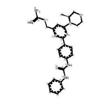 C[C@H]1COCCN1c1cc(CSC(=N)N)nc(-c2ccc(NC(=O)Nc3ccccc3)cc2)n1